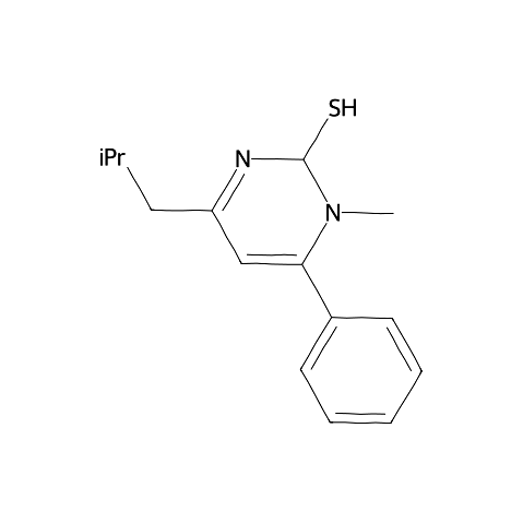 CC(C)CC1=NC(S)N(C)C(c2ccccc2)=C1